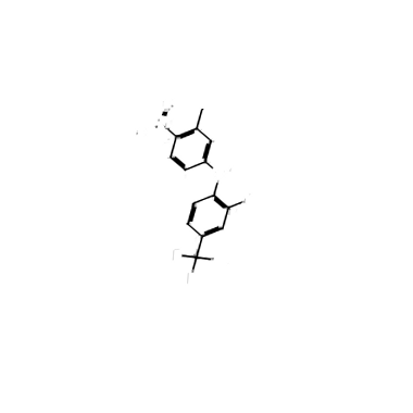 [CH2]c1cc(Oc2ccc(C(F)(F)F)cc2Cl)ccc1[N+](=O)[O-]